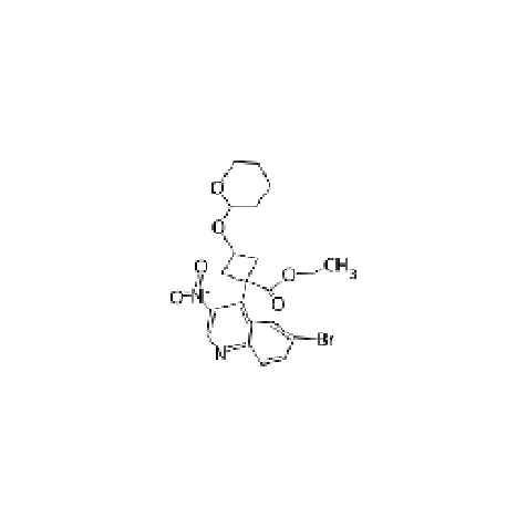 CCOC(=O)C1(c2c([N+](=O)[O-])cnc3ccc(Br)cc23)CC(OC2CCCCO2)C1